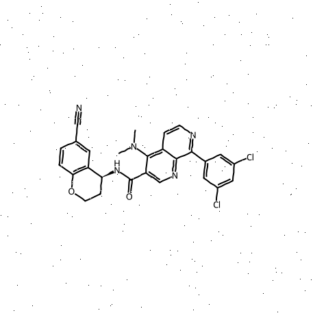 CN(C)c1c(C(=O)N[C@H]2CCOc3ccc(C#N)cc32)cnc2c(-c3cc(Cl)cc(Cl)c3)nccc12